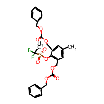 Cc1cc(COC(=O)OCc2ccccc2)c(OS(=O)(=O)C(C)(F)F)c(COC(=O)OCc2ccccc2)c1